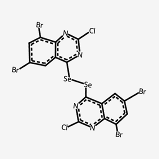 Clc1nc([Se][Se]c2nc(Cl)nc3c(Br)cc(Br)cc23)c2cc(Br)cc(Br)c2n1